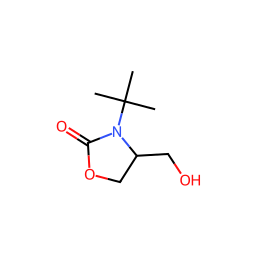 CC(C)(C)N1C(=O)OCC1CO